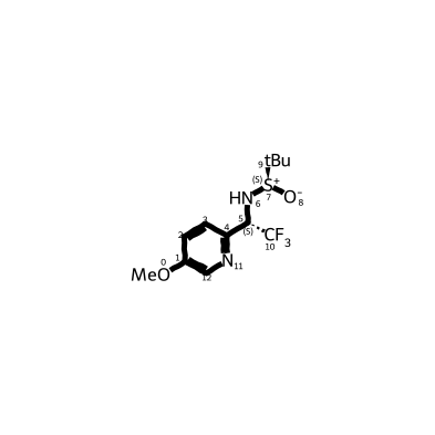 COc1ccc([C@H](N[S@+]([O-])C(C)(C)C)C(F)(F)F)nc1